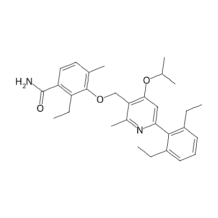 CCc1cccc(CC)c1-c1cc(OC(C)C)c(COc2c(C)ccc(C(N)=O)c2CC)c(C)n1